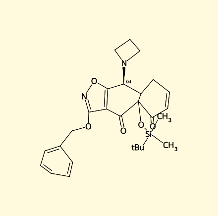 CC(C)(C)[Si](C)(C)OC12C(=O)C=CCC1[C@H](N1CCC1)c1onc(OCc3ccccc3)c1C2=O